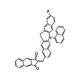 O=C1C(=Cc2ccc3cc4c(cc3c2)CCc2cc3cc(F)ccc3cc2N4c2cccc3ccccc23)C(=O)c2cc3ccccc3cc21